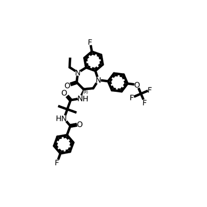 CCN1C(=O)[C@H](NC(=O)C(C)(C)NC(=O)c2ccc(F)cc2)CN(c2ccc(OC(F)(F)F)cc2)c2ccc(F)cc21